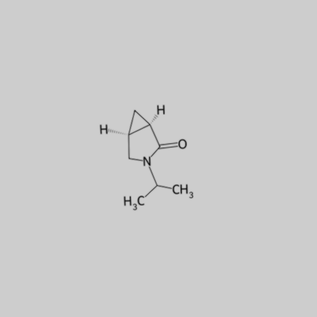 CC(C)N1C[C@H]2C[C@H]2C1=O